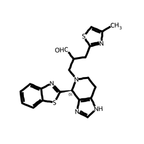 Cc1csc(CC(C=O)CN2CCc3[nH]cnc3[C@H]2c2nc3ccccc3s2)n1